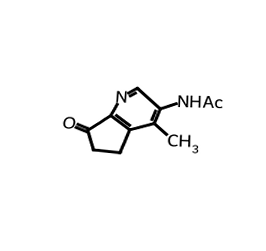 CC(=O)Nc1cnc2c(c1C)CCC2=O